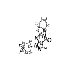 O=c1[nH]c(Cc2ccccc2)nc2c1cnn2C1CCC(F)(F)CC1